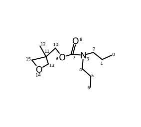 CCCN(CCC)C(=O)OCC1(C)COC1